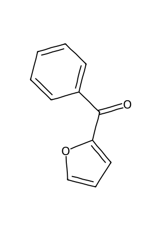 O=C(c1ccccc1)c1ccco1